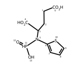 O=C(O)CCC(C(=O)O)N(c1cccs1)[PH](=O)O